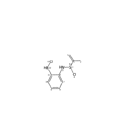 C=C(C)[SiH](Cl)Nc1ccccc1BCl